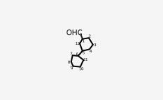 O=CC1CCCC(C2CC[CH]CC2)C1